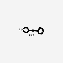 C(#CC1CCNCC1)c1ccccc1.Cl